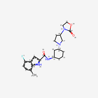 Cc1ccc(F)c2cc(C(=O)N[C@@H]3CCC[C@@H](N4CCC(N5CCOC5=O)C4)C3)[nH]c12